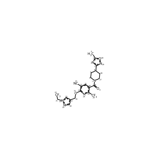 Cc1nc(C2CCN(C(=O)c3cc(C#N)c(OCc4cnn(CC(F)(F)F)c4)nc3C(F)(F)F)CC2)no1